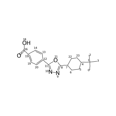 CC(C)(C)C1CCC(c2nnc(-c3ccc(C(=O)O)cc3)o2)CC1